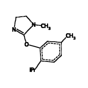 Cc1ccc(C(C)C)c(OC2=NCCN2C)c1